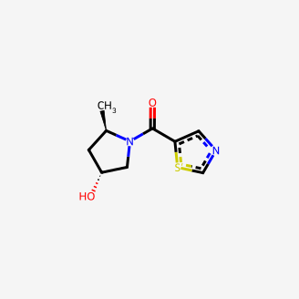 C[C@@H]1C[C@@H](O)CN1C(=O)c1cncs1